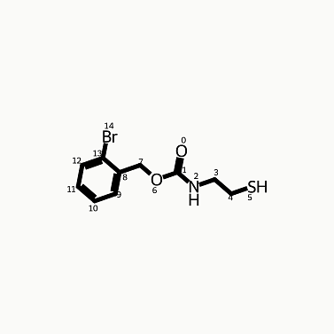 O=C(NCCS)OCc1ccccc1Br